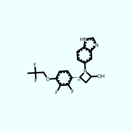 CC(F)(F)COc1ccc([C@H]2CC(O)N2c2ccc3[nH]cnc3c2)c(F)c1F